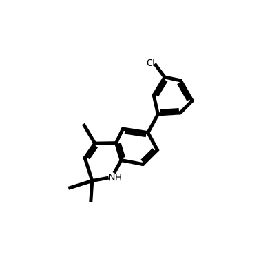 CC1=CC(C)(C)Nc2ccc(-c3cccc(Cl)c3)cc21